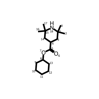 CC1(C)CC(C(=O)OC2CCCCC2)CC(C)(C)N1